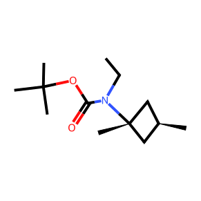 CCN(C(=O)OC(C)(C)C)[C@]1(C)C[C@@H](C)C1